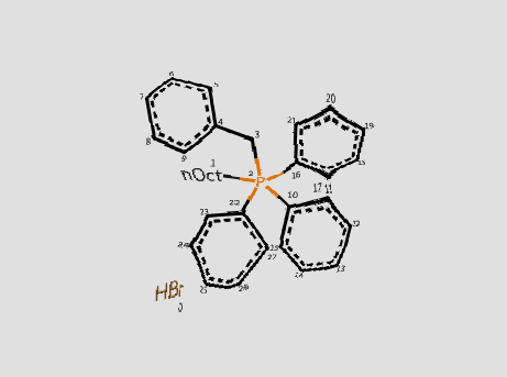 Br.CCCCCCCCP(Cc1ccccc1)(c1ccccc1)(c1ccccc1)c1ccccc1